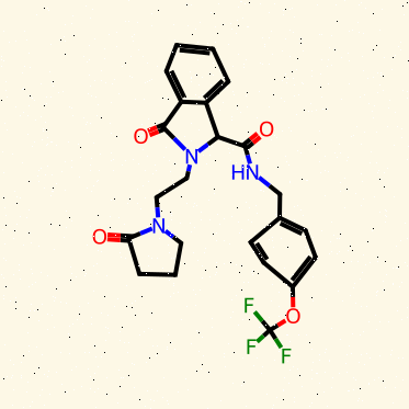 O=C(NCc1ccc(OC(F)(F)F)cc1)C1c2ccccc2C(=O)N1CCN1CCCC1=O